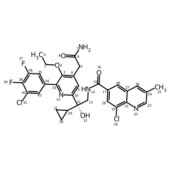 CCOc1c(CC(N)=O)cc([C@@](O)(CNC(=O)c2cc(Cl)c3ncc(C)cc3c2)C2CC2)nc1-c1cc(F)c(F)c(Cl)c1